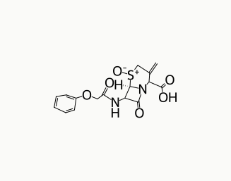 C=C1C[S+]([O-])[C@@H]2C(NC(=O)COc3ccccc3)C(=O)N2C1C(=O)O